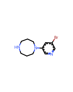 Brc1cncc(N2CCCNCCC2)c1